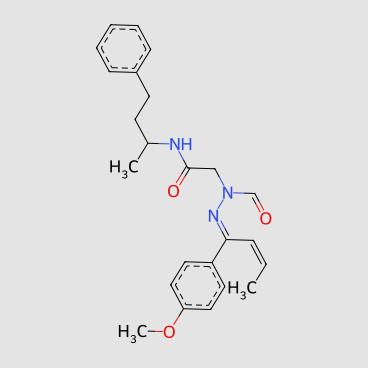 C/C=C\C(=N/N(C=O)CC(=O)NC(C)CCc1ccccc1)c1ccc(OC)cc1